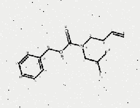 C=CCCN(CC(F)F)C(=O)OCc1ccccc1